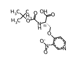 CC(C)(C)OC(=O)N[C@@H](COc1ccncc1[N+](=O)[O-])C(=O)O